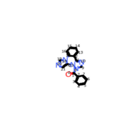 O=C(c1ccccc1)N1CN=C2c3ccccc3-n3cncc3N21